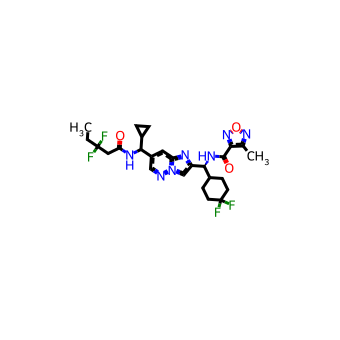 CCC(F)(F)CC(=O)NC(c1cnn2cc([C@@H](NC(=O)c3nonc3C)C3CCC(F)(F)CC3)nc2c1)C1CC1